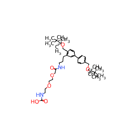 CC(C)(C)[Si](C)(C)OCc1ccc(-c2ccc(CO[Si](C)(C)C(C)(C)C)c(CCCNC(=O)COCCOCCNC(=O)O)c2)cc1